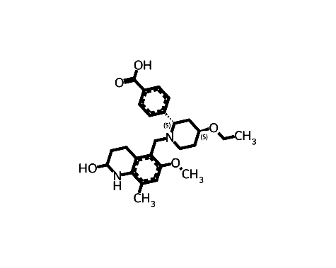 CCO[C@H]1CCN(Cc2c(OC)cc(C)c3c2CCC(O)N3)[C@H](c2ccc(C(=O)O)cc2)C1